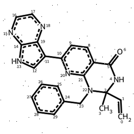 C=CC1(C)NC(=O)c2ccc(-c3c[nH]c4nccnc34)nc2N1Cc1ccccc1